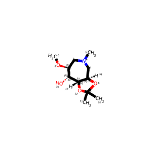 CO[C@H]1CN(C)C[C@H]2OC(C)(C)O[C@@H]2[C@@H]1O